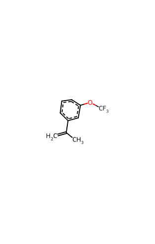 C=C(C)c1cccc(OC(F)(F)F)c1